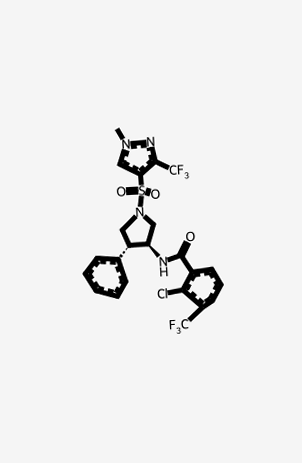 Cn1cc(S(=O)(=O)N2C[C@@H](NC(=O)c3cccc(C(F)(F)F)c3Cl)[C@H](c3ccccc3)C2)c(C(F)(F)F)n1